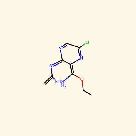 C=C(N)/N=C1/N=CC(Cl)=N/C1=C(/N)OCC